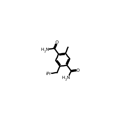 Cc1cc(C(N)=O)c(CC(C)C)cc1C(N)=O